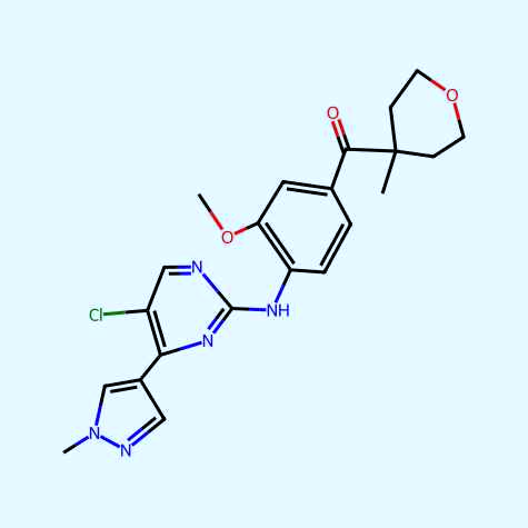 COc1cc(C(=O)C2(C)CCOCC2)ccc1Nc1ncc(Cl)c(-c2cnn(C)c2)n1